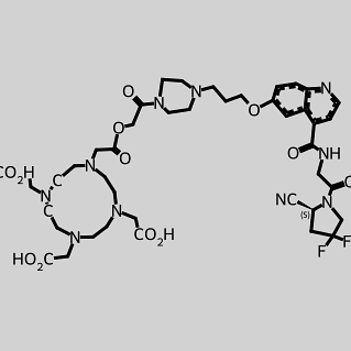 N#C[C@@H]1CC(F)(F)CN1C(=O)CNC(=O)c1ccnc2ccc(OCCCN3CCN(C(=O)COC(=O)CN4CCN(CC(=O)O)CCN(CC(=O)O)CCN(CC(=O)O)CC4)CC3)cc12